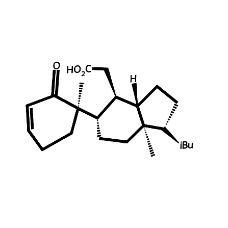 CC[C@H](C)[C@H]1CC[C@H]2[C@H](CC(=O)O)[C@@H]([C@@]3(C)CCC=CC3=O)CC[C@]12C